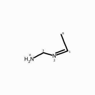 C/C=N\CN